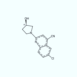 N#Cc1cc(N2CC[C@@H](O)C2)nc2ccc(Cl)cc12